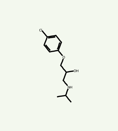 CC(C)NCC(O)COc1ccc(Cl)cc1